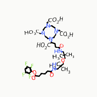 CC(C)(CNC(=O)CCCCC(=O)Oc1c(F)c(F)cc(F)c1F)COCC(C)(C)CNC(=O)CCC(C(=O)O)N1CCN(CC(=O)O)CCN(CC(=O)O)CCN(CC(=O)O)CC1